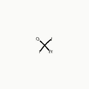 CCC([O])(I)I